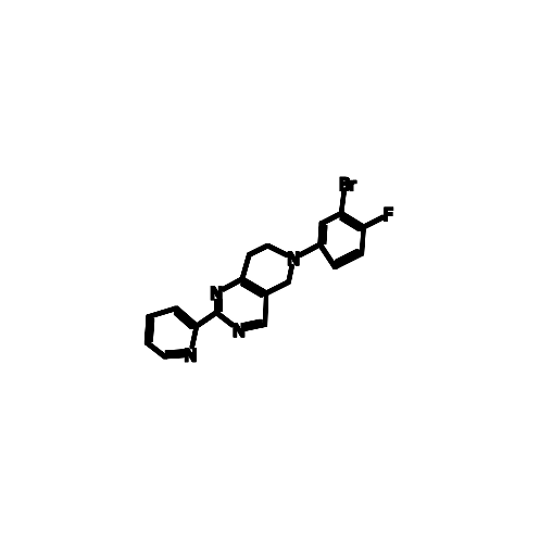 Fc1ccc(N2CCc3nc(-c4ccccn4)ncc3C2)cc1Br